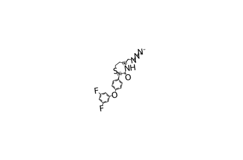 [N-]=[N+]=NC[C@@H]1CCS[C@H](c2ccc(Oc3cc(F)cc(F)c3)cc2)C(=O)N1